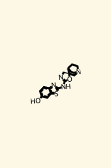 Oc1ccc2nc(NC3=NC[C@@]4(CN5CCC4CC5)O3)sc2c1